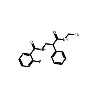 N#CCNC(=O)C(CNC(=O)c1ccccc1F)c1ccccc1